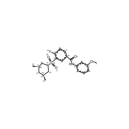 COc1cccc(NC(=O)c2ccc(F)c(S(=O)(=O)N3C[C@H](C)C[C@H](C)C3)c2)c1